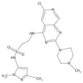 Cc1cc(NS(=O)(=O)CCNc2nc(N3CCN(C)CC3)nc3cnc(Cl)cc23)n(C)n1